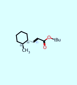 C[C@H]1CCCC[C@@H]1/C=C/C(=O)OC(C)(C)C